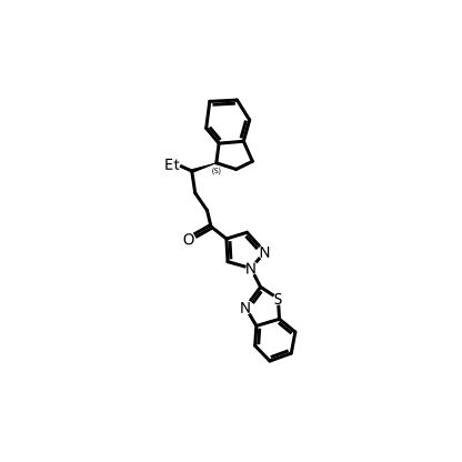 CCC(CCC(=O)c1cnn(-c2nc3ccccc3s2)c1)[C@@H]1CCc2ccccc21